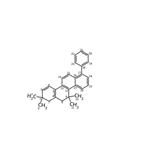 CC1(C)C=CC2=C(C1)CC(C)(C)c1c2ccc2c(-c3cc[c]cc3)cccc12